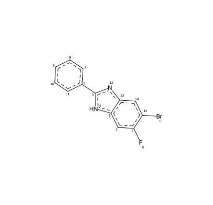 Fc1cc2[nH]c(-c3ccccc3)nc2cc1Br